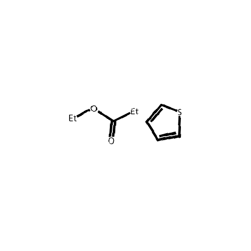 CCOC(=O)CC.c1ccsc1